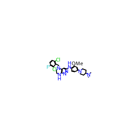 COc1cc(N2CCC(N(C)C)CC2)ccc1Nc1cc2c(nn1)NCCN2Cc1c(Cl)ccc(F)c1Cl